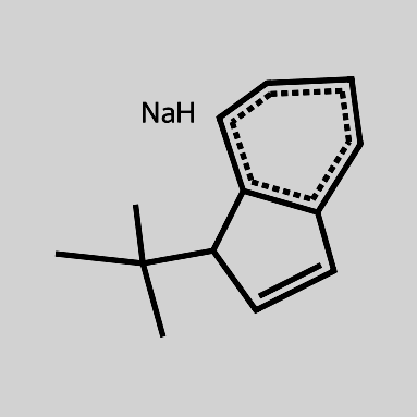 CC(C)(C)C1C=Cc2ccccc21.[NaH]